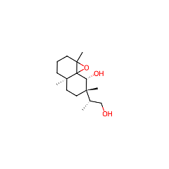 C[C@@H](CO)[C@]1(C)CC[C@@]2(C)CCCC3(C)OC32[C@@H]1O